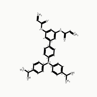 C=CC(=O)Oc1cc(OC(=O)C=C)cc(-c2ccc(N(c3ccc(C(C)O)cc3)c3ccc(C(C)O)cc3)cc2)c1